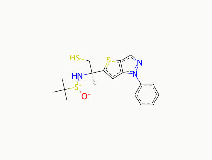 CC(C)(C)[S@@+]([O-])N[C@@](C)(CS)c1cc2c(cnn2-c2ccccc2)s1